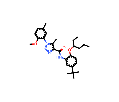 CCCC(CC)Oc1ccc(C(C)(C)C)cc1NC(=O)c1nnn(-c2cc(C)ccc2OC)c1C